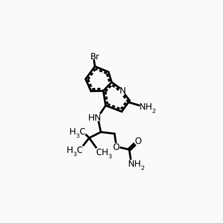 CC(C)(C)C(COC(N)=O)Nc1cc(N)nc2cc(Br)ccc12